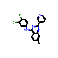 Cc1ccc2c(Nc3ccc(F)c(Cl)c3)nc(-c3cccnc3)nc2c1